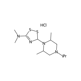 CC(C)N1CC(C)N(C2N=C(N(C)C)SS2)C(C)C1.Cl